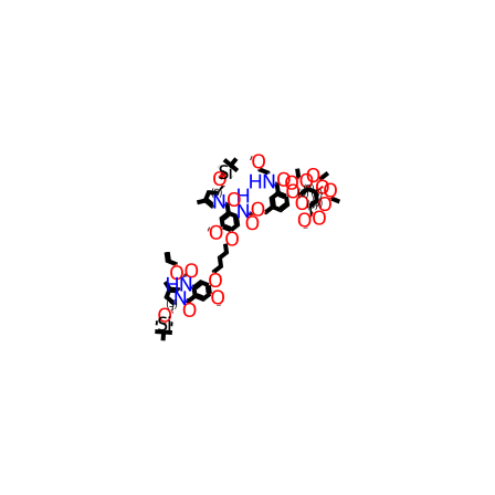 C=CCOC(=O)Nc1cc(OCCCCCOc2cc(NC(=O)OCc3ccc(O[C@@H]4O[C@H](C(=O)OC)[C@@H](OC(C)=O)[C@H](OC(C)=O)[C@H]4OC(C)=O)c(C(=O)NCCOC)c3)c(C(=O)N3C=C(C)C[C@H]3CO[Si](C)(C)C(C)(C)C)cc2OC)c(OC)cc1C(=O)N1C=C(C)C[C@H]1CO[Si](C)(C)C(C)(C)C